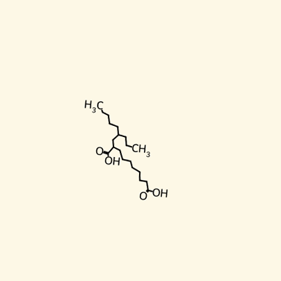 CCCCCC(CCC)CC(CCCCCCCC(=O)O)C(=O)O